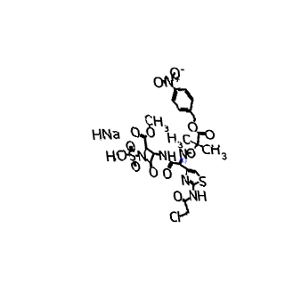 COC(=O)C1C(NC(=O)/C(=N/OC(C)(C)C(=O)OCc2ccc([N+](=O)[O-])cc2)c2csc(NC(=O)CCl)n2)C(=O)N1S(=O)(=O)O.[NaH]